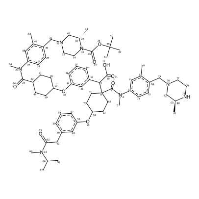 Cc1cc(N(C)C(=O)C2(C(C(=O)O)c3cccc(OC4CCC(C(=O)N(C)c5ccc(CN6CCN(C(=O)OC(C)(C)C)[C@@H](C)C6)c(C)c5)CC4)c3)CCC(Oc3cccc(CC(=O)N(C)C(C)C)c3)CC2)ccc1CN1CCN[C@@H](C)C1